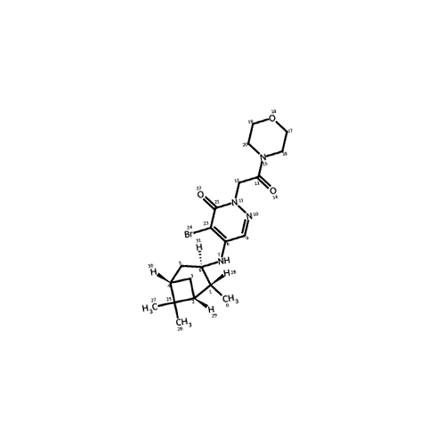 C[C@@H]1[C@H]2C[C@@H](C[C@H]1Nc1cnn(CC(=O)N3CCOCC3)c(=O)c1Br)C2(C)C